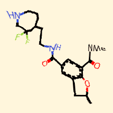 CNC(=O)c1cc(C(=O)NCCC2CCNCC2(F)F)cc2c1OC(C)C2